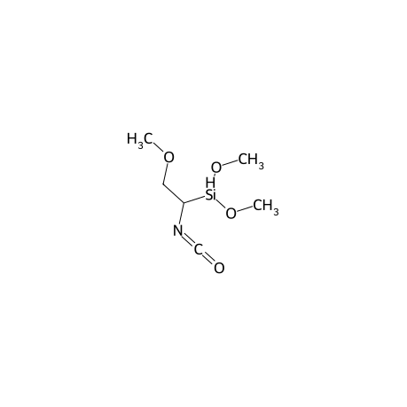 COCC(N=C=O)[SiH](OC)OC